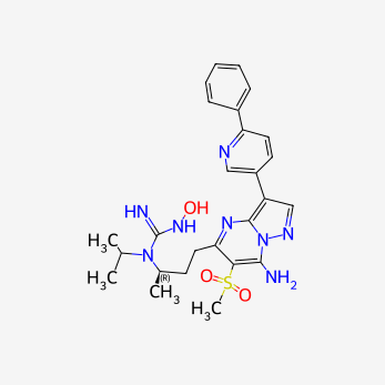 CC(C)N(C(=N)NO)[C@H](C)CCc1nc2c(-c3ccc(-c4ccccc4)nc3)cnn2c(N)c1S(C)(=O)=O